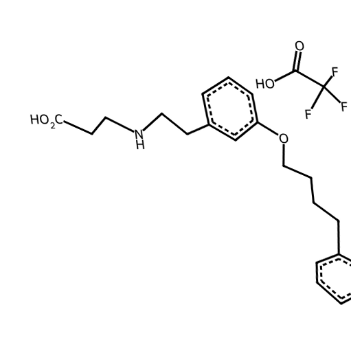 O=C(O)C(F)(F)F.O=C(O)CCNCCc1cccc(OCCCCc2ccccc2)c1